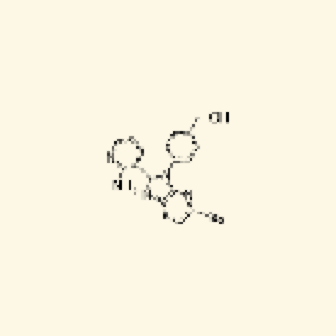 C#Cc1ccc2nc(-c3cccnc3N)n(-c3ccc(CO)cc3)c2n1